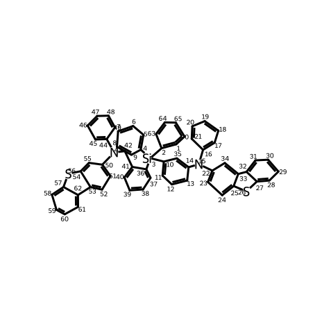 C1=C=C([Si](c2ccccc2)(c2cccc(N(c3ccccc3)c3ccc4sc5ccccc5c4c3)c2)c2ccccc2CN(c2ccccc2)c2ccc3c(c2)sc2ccccc23)C=CC=1